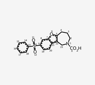 O=C(O)N1CCCc2oc3cc(S(=O)(=O)c4ccccc4)ccc3c2C1